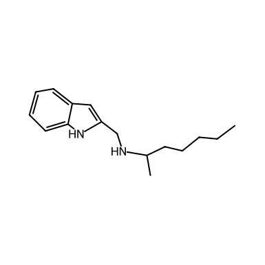 CCCCCC(C)NCc1cc2ccccc2[nH]1